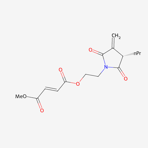 C=C1C(=O)N(CCOC(=O)/C=C/C(=O)OC)C(=O)[C@H]1CCC